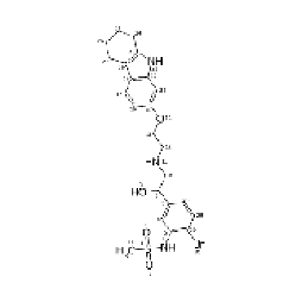 CS(=O)(=O)Nc1cc(C(O)CNCCOc2ccc3c4c([nH]c3c2)CCCC4)ccc1Br